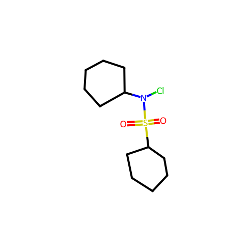 O=S(=O)(C1CCCCC1)N(Cl)C1CCCCC1